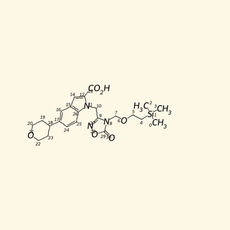 C[Si](C)(C)CCOCn1c(Cn2c(C(=O)O)cc3cc(C4CCOCC4)ccc32)noc1=O